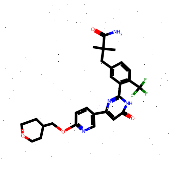 CC(C)(Cc1ccc(C(F)(F)F)c(-c2nc(-c3ccc(OCC4CCOCC4)nc3)cc(=O)[nH]2)c1)C(N)=O